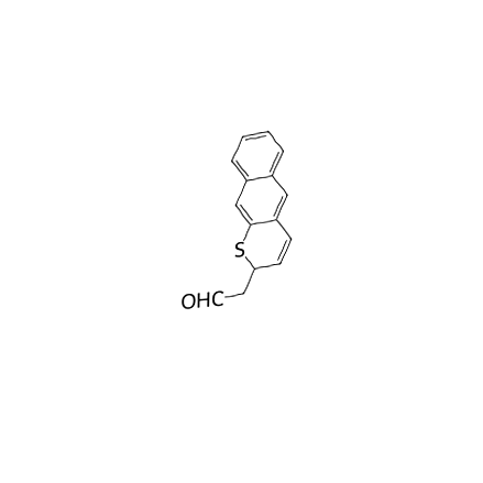 O=CCC1C=Cc2cc3ccccc3cc2S1